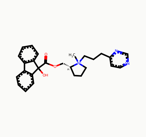 C[N+]1(CCCc2ccncn2)CCC[C@@H]1COC(=O)C1(O)c2ccccc2-c2ccccc21